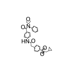 O=C(Cc1ccc(S(=O)(=O)CC2CC2)cc1)Nc1ccc(C(=O)N(c2ccccc2)C2COC2)cc1